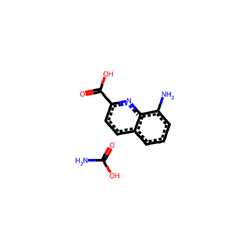 NC(=O)O.Nc1cccc2ccc(C(=O)O)nc12